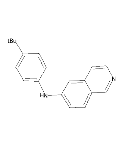 CC(C)(C)c1ccc(Nc2ccc3cnccc3c2)cc1